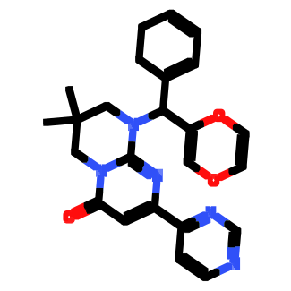 CC1(C)CN(C(C2=CC=CCC2)C2=COC=CO2)c2nc(-c3ccncn3)cc(=O)n2C1